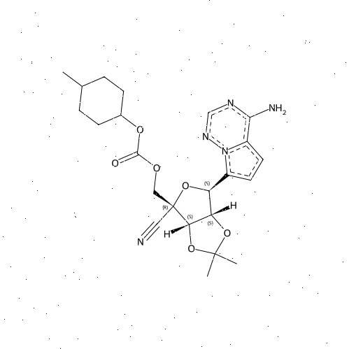 CC1CCC(OC(=O)OC[C@@]2(C#N)O[C@@H](c3ccc4c(N)ncnn34)[C@@H]3OC(C)(C)O[C@@H]32)CC1